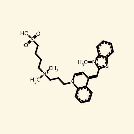 C[n+]1c(C=C2C=CN(CCC[N+](C)(C)CCCCS(=O)(=O)O)c3ccccc32)sc2ccccc21